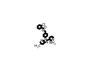 Cc1cnc2c(c1)nc(-c1cccnc1N)n2-c1ccc(C[N]C(=O)c2ccccc2Cl)cc1